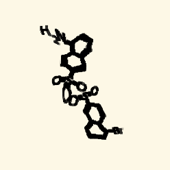 Nc1cccc2cc(S(=O)(=O)OS(=O)(=O)c3ccc4c(Br)cccc4c3)ccc12